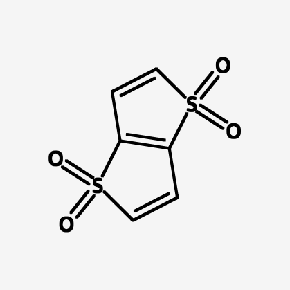 O=S1(=O)C=CC2=C1C=CS2(=O)=O